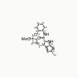 COC1(C)CN(Cc2c(C(=O)Nc3ccccc3Cl)[nH]c3nc(C)sc23)C1